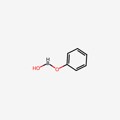 OBOc1ccccc1